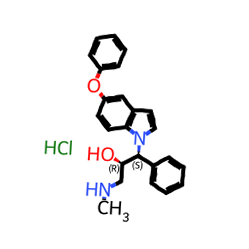 CNC[C@@H](O)[C@H](c1ccccc1)n1ccc2cc(Oc3ccccc3)ccc21.Cl